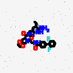 C/C=C(\C=C(/C)CNC(=O)C1CC2(CN1C(=O)CNC(=O)c1ccc(-c3c(F)cccc3F)cc1)OCCO2)C(=N)N